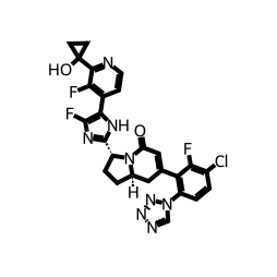 O=C1C=C(c2c(-n3cnnn3)ccc(Cl)c2F)C[C@H]2CC[C@H](c3nc(F)c(-c4ccnc(C5(O)CC5)c4F)[nH]3)N12